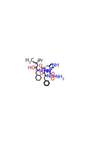 C=C[C@@H](C[C@H](O)[C@H](CC1CCCCC1)NC(=O)[C@H](Cc1c[nH]cn1)NC(=O)[C@H](Cc1ccccc1)NC(=N)OC(N)=O)C(C)C